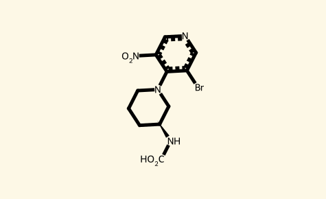 O=C(O)N[C@H]1CCCN(c2c(Br)cncc2[N+](=O)[O-])C1